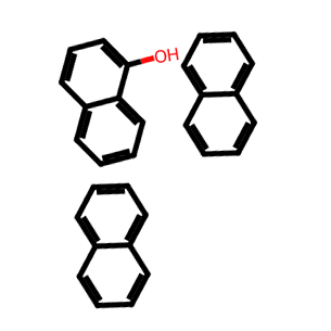 Oc1cccc2ccccc12.c1ccc2ccccc2c1.c1ccc2ccccc2c1